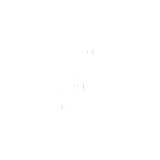 CCCPCF